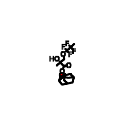 CC(O)(COC(F)(F)C(C)(F)F)C(=O)OC12CC3CC(C1)C(=O)C(C3)C2